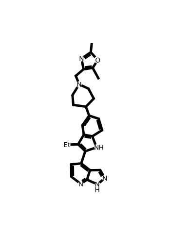 CCc1c(-c2ccnc3[nH]ncc23)[nH]c2ccc(C3CCN(Cc4nc(C)oc4C)CC3)cc12